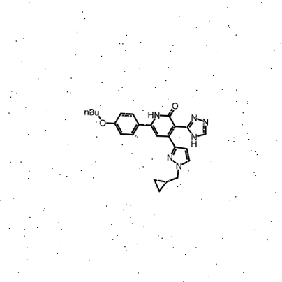 CCCCOc1ccc(-c2cc(-c3ccn(CC4CC4)n3)c(-c3nnc[nH]3)c(=O)[nH]2)cc1